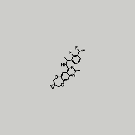 Cc1nc(NC(C)c2cccc(C(F)F)c2F)c2cc3c(cc2n1)OCC1(CC1)CO3